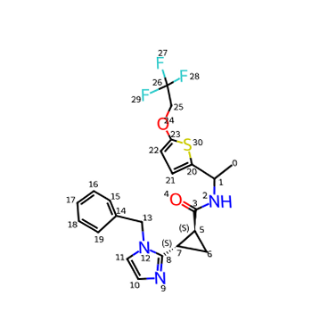 CC(NC(=O)[C@H]1C[C@@H]1c1nccn1Cc1ccccc1)c1ccc(OCC(F)(F)F)s1